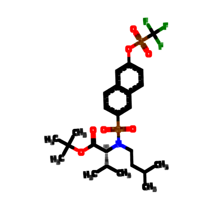 CC(C)CCN([C@@H](C(=O)OC(C)(C)C)C(C)C)S(=O)(=O)c1ccc2cc(OS(=O)(=O)C(F)(F)F)ccc2c1